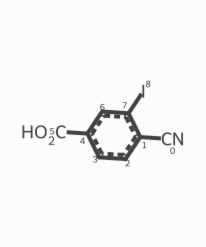 N#Cc1ccc(C(=O)O)cc1I